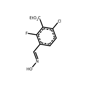 CCOC(=O)c1c(Cl)ccc(/C=N/O)c1F